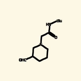 CC(C)(C)NC(=O)CN1CCCC(C=O)C1